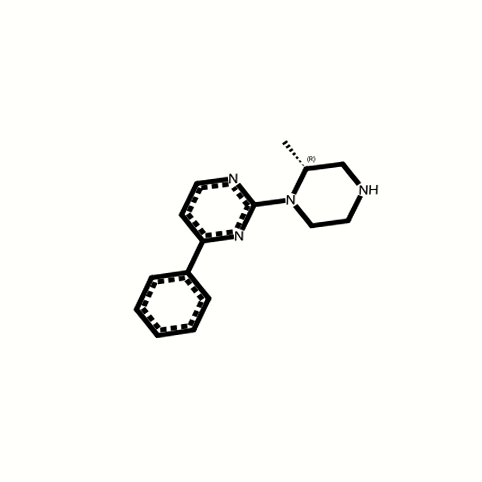 C[C@@H]1CNCCN1c1nccc(-c2ccccc2)n1